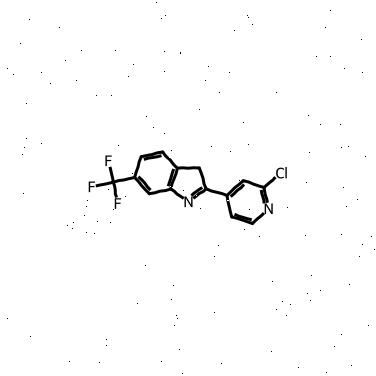 FC(F)(F)c1ccc2c(c1)N=C(c1ccnc(Cl)c1)C2